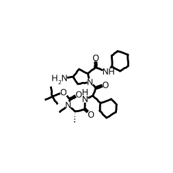 C[C@@H](C(=O)NC(C(=O)N1CC(N)CC1C(=O)NC1CCCCC1)C1CCCCC1)N(C)C(=O)OC(C)(C)C